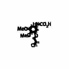 COc1cc(NC(=O)O)cc(OCCCl)c1OC